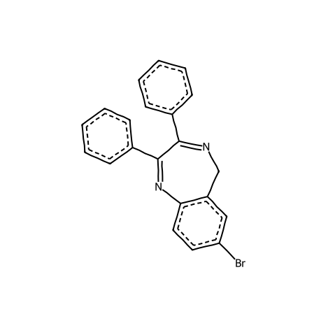 Brc1ccc2c(c1)CN=C(c1ccccc1)C(c1ccccc1)=N2